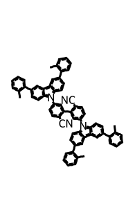 Cc1ccccc1-c1ccc2c(c1)c1cc(-c3ccccc3C)ccc1n2-c1ccc(C#N)c(-c2cc(-n3c4ccc(-c5ccccc5C)cc4c4cc(-c5ccccc5C)ccc43)ccc2C#N)c1